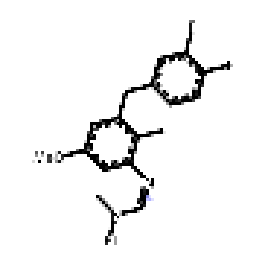 CCN(C)/C=N\c1cc(OC)cc(Cc2ccc(F)c(F)c2)c1C